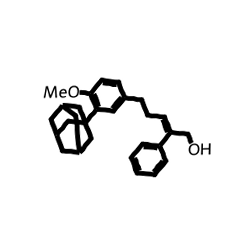 COc1ccc(CCC=C(CO)c2ccccc2)cc1C12CC3CC(CC(C3)C1)C2